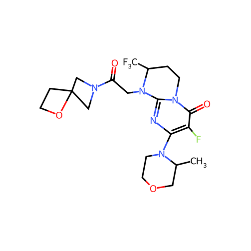 CC1COCCN1c1nc2n(c(=O)c1F)CCC(C(F)(F)F)N2CC(=O)N1CC2(CCO2)C1